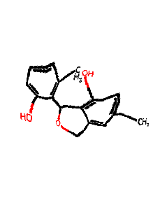 Cc1cc(O)c2c(c1)COC2c1c(C)cccc1O